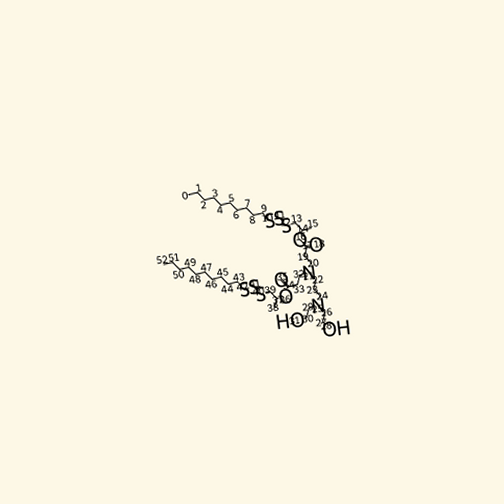 CCCCCCCCCCSSSCC(C)OC(=O)CCN(CCCN(CCO)CCO)CCC(=O)OC(C)CSSSCCCCCCCCCC